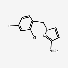 CC(=O)Nc1ccn(Cc2ccc(F)cc2Cl)n1